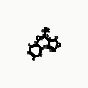 CCN(Oc1ccccc1)c1conn1